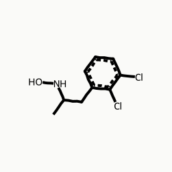 CC(Cc1cccc(Cl)c1Cl)NO